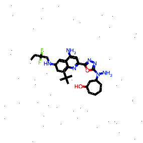 CCC(F)(F)CNC1C=c2c(N)cc(-c3nnc(N(N)C4CCCCC(O)C4)o3)nc2=C(C(C)(C)C)C1